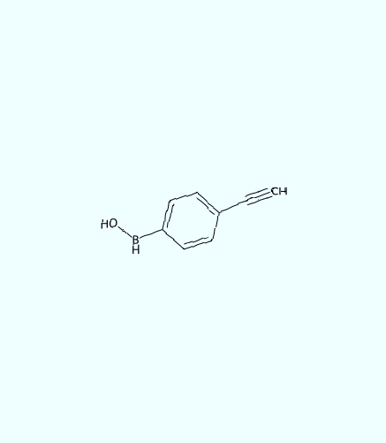 C#Cc1ccc(BO)cc1